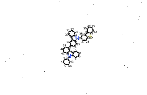 c1ccc(-n2c3ccccc3c3c(-c4ccc5c(c4)c4ccccc4n5-c4ccc5sc6ccccc6c5c4)cccc32)cc1